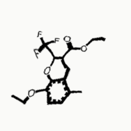 CCOC(=O)C1=Cc2c(C)ccc(OCC)c2OC1C(F)(F)F